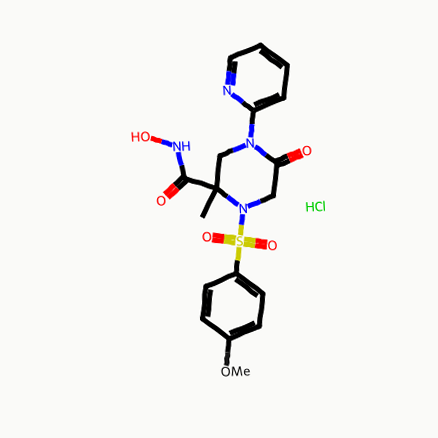 COc1ccc(S(=O)(=O)N2CC(=O)N(c3ccccn3)CC2(C)C(=O)NO)cc1.Cl